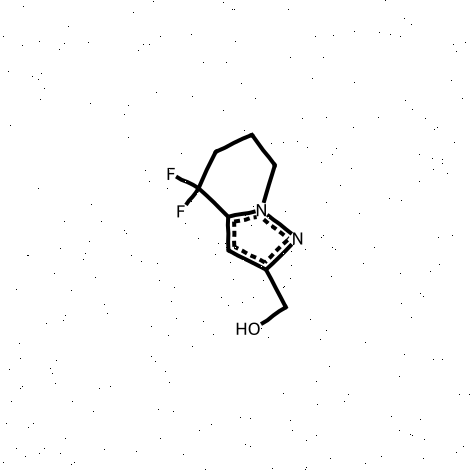 OCc1cc2n(n1)CCCC2(F)F